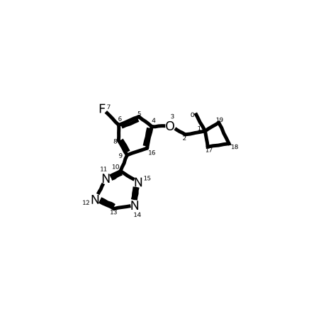 CC1(COc2cc(F)cc(-c3nncnn3)c2)CCC1